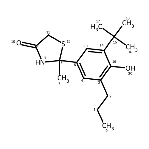 CCCc1cc(C2(C)NC(=O)CS2)cc(C(C)(C)C)c1O